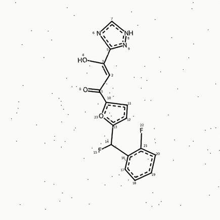 O=C(C=C(O)c1nc[nH]n1)c1ccc(C(F)c2ccccc2F)o1